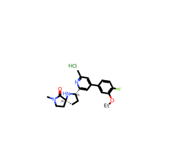 CCOc1cc(-c2cc(C)nc([C@@H]3CC[C@@]4(CCN(C)C4=O)N3)c2)ccc1F.Cl